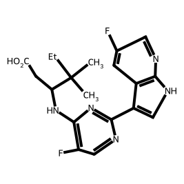 CCC(C)(C)C(CC(=O)O)Nc1nc(-c2c[nH]c3ncc(F)cc23)ncc1F